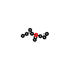 c1ccc(-c2ccc(-n3c4ccccc4c4cc(-c5ccc(-c6ccc(-c7cccc8c7oc7ccccc78)cc6)c6c5C5c7ccccc7C6c6ccccc65)ccc43)cc2)cc1